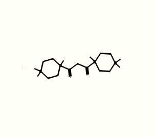 CC1(C)CCC(F)(C(=O)CC(=O)C2(F)CCC(C)(C)CC2)CC1